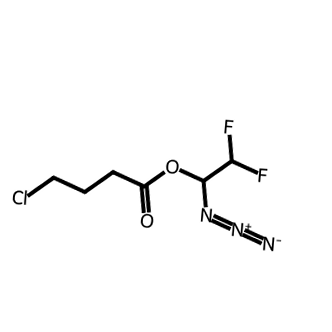 [N-]=[N+]=NC(OC(=O)CCCCl)C(F)F